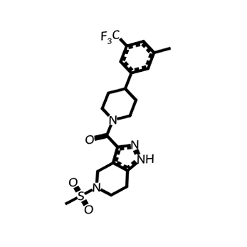 Cc1cc(C2CCN(C(=O)c3n[nH]c4c3CN(S(C)(=O)=O)CC4)CC2)cc(C(F)(F)F)c1